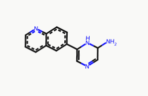 NC1C=NC=C(c2ccc3ncccc3c2)N1